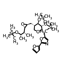 C[C@@H]([C@@H]1O[C@H]1C[C@H]1CO[C@@H](Cc2cnc(-c3ccco3)o2)[C@@H](O[Si](C)(C)C)[C@@H]1O[Si](C)(C)C)[C@H](C)O[Si](C)(C)C